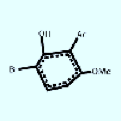 COc1ccc(Br)c(O)c1C(C)=O